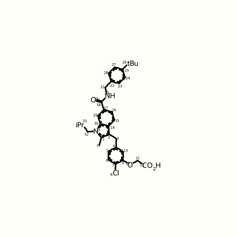 Cc1c(Cc2ccc(Cl)c(OCC(=O)O)c2)c2ccc(C(=O)NCc3ccc(C(C)(C)C)cc3)cc2n1CC(C)C